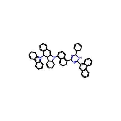 C1=CCC(C2N=C(C3=c4cccc(N5C6=Cc7ccccc7C(n7c8c(c9ccccc97)C=CCC8)C6C6C=CCCC65)c4=CCC3)N=C(c3cc4ccccc4c4ccccc34)N2)C=C1